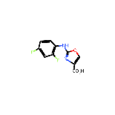 O=C(O)c1coc(Nc2ccc(F)cc2F)n1